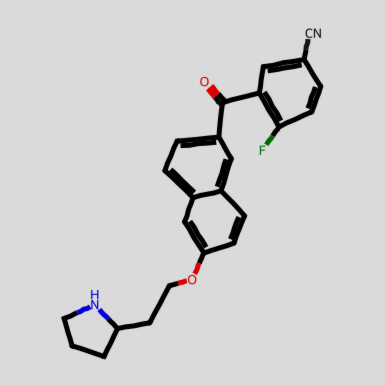 N#Cc1ccc(F)c(C(=O)c2ccc3cc(OCCC4CCCN4)ccc3c2)c1